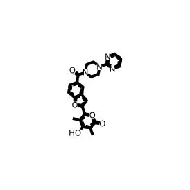 Cc1c(-c2cc3cc(C(=O)N4CCN(c5ncccn5)CC4)ccc3o2)oc(=O)c(C)c1O